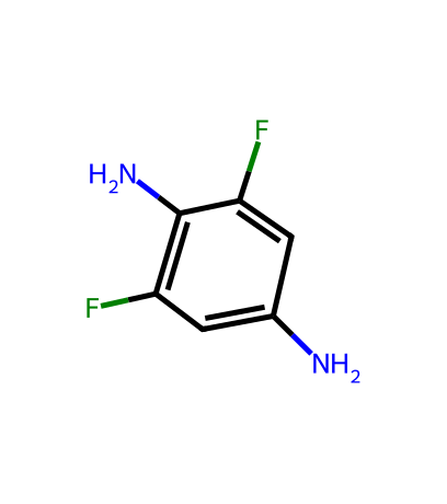 Nc1cc(F)c(N)c(F)c1